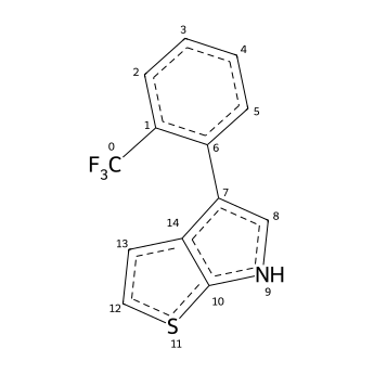 FC(F)(F)c1ccccc1-c1c[nH]c2sccc12